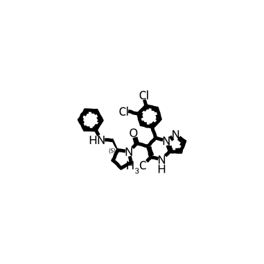 CC1=C(C(=O)N2CCC[C@H]2CNc2ccccc2)C(c2ccc(Cl)c(Cl)c2)n2nccc2N1